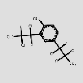 CCC[CH]c1ccc(C(Cl)(Cl)C(Cl)(Cl)C(Cl)(Cl)Cl)cc1C(Cl)(Cl)C(Cl)(Cl)C(Cl)(Cl)Cl